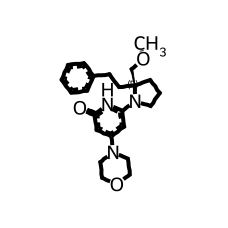 COC[C@@]1(CCc2ccccc2)CCCN1c1cc(N2CCOCC2)cc(=O)[nH]1